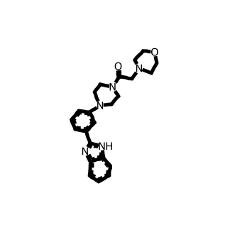 O=C(CN1CCOCC1)N1CCN(c2cccc(-c3nc4ccccc4[nH]3)c2)CC1